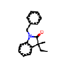 [CH2]CC1(C)C(=O)N(Cc2ccccc2)c2ccccc21